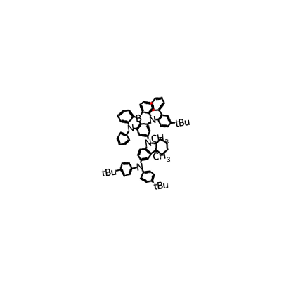 CC(C)(C)c1ccc(N(c2ccc(C(C)(C)C)cc2)c2ccc3c(c2)C2(C)CCCCC2(C)N3c2cc3c4c(c2)N(c2ccc(C(C)(C)C)cc2-c2ccccc2)c2ccccc2B4c2ccccc2N3c2ccccc2)cc1